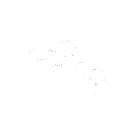 Cn1nc2n(c1=O)CCN(c1cccc3cc(C(=O)N4CCCCC4)cnc13)C2